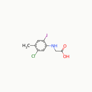 Cc1cc(I)c(NCC(=O)O)cc1Cl